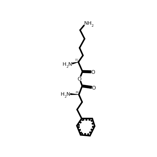 NCCCC[C@H](N)C(=O)OC(=O)[C@H](N)CCc1ccccc1